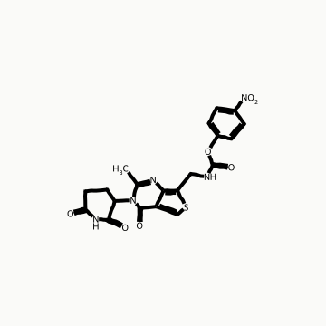 Cc1nc2c(CNC(=O)Oc3ccc([N+](=O)[O-])cc3)scc2c(=O)n1C1CCC(=O)NC1=O